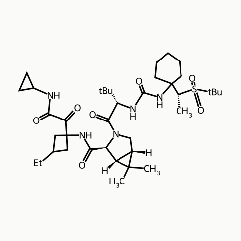 CCC1CC(NC(=O)[C@@H]2[C@@H]3[C@H](CN2C(=O)[C@@H](NC(=O)NC2([C@@H](C)S(=O)(=O)C(C)(C)C)CCCCC2)C(C)(C)C)C3(C)C)(C(=O)C(=O)NC2CC2)C1